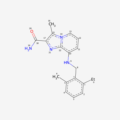 CCc1cccc(C)c1CNc1cccn2c(C)c(C(N)=O)nc12